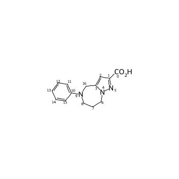 O=C(O)c1cc2n(n1)CCCN(c1ccccc1)C2